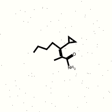 CCCCC(=C(C)C(N)=O)C1CC1